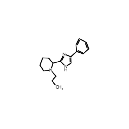 CCCN1CCCCC1c1nc(-c2ccccc2)c[nH]1